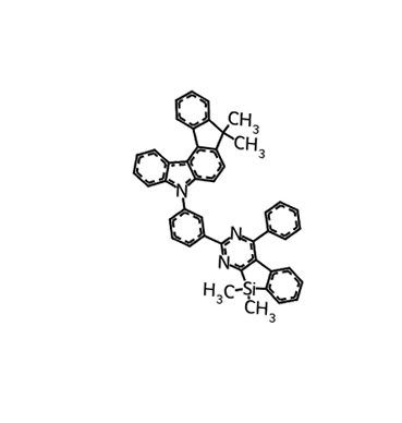 CC1(C)c2ccccc2-c2c1ccc1c2c2ccccc2n1-c1cccc(-c2nc(-c3ccccc3)c3c(n2)[Si](C)(C)c2ccccc2-3)c1